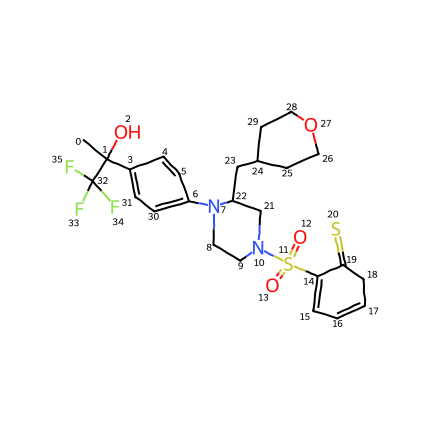 CC(O)(c1ccc(N2CCN(S(=O)(=O)C3=CC=CCC3=S)CC2CC2CCOCC2)cc1)C(F)(F)F